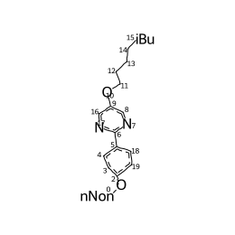 CCCCCCCCCOc1ccc(-c2ncc(OCCCCC(C)CC)cn2)cc1